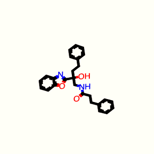 O=C(CCc1ccccc1)NCC(O)(CCc1ccccc1)c1nc2ccccc2o1